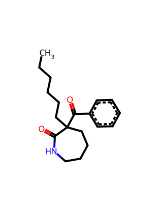 CCCCCCC1(C(=O)c2ccccc2)CCCCNC1=O